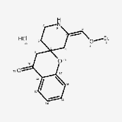 CCO/C=C1\CC2(CCN1)CC(=O)c1ccccc1O2.Cl